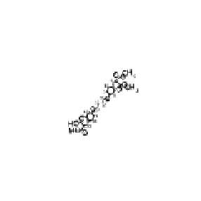 COC(=O)C(Cc1ccc(OCCCCOc2ccc(CC(C(=O)O)C(=O)O)cc2)cc1)C(=O)OC